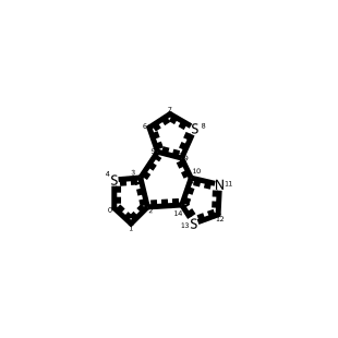 c1cc2c(s1)c1ccsc1c1ncsc21